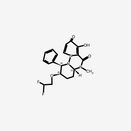 CN1C(=O)c2c(O)c(=O)ccn2N2[C@H](c3ccccc3)[C@H](OCC(F)F)CC[C@@H]12